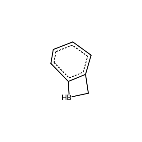 B1Cc2ccccc21